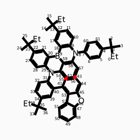 CCC(C)(C)c1ccc(N2c3ccc(C(C)(C)CC)cc3B3c4cc(C(C)(C)CC)ccc4N(c4ccc(C(C)(C)CC)cc4-c4cccc5oc6ccccc6c45)c4cccc2c43)cc1